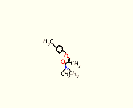 CCc1ccc(CO/C=C(/C)C(=O)N(CC)CC)cc1